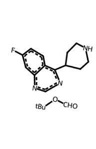 CC(C)(C)OC=O.Fc1ccc2c(C3CCNCC3)ncnc2c1